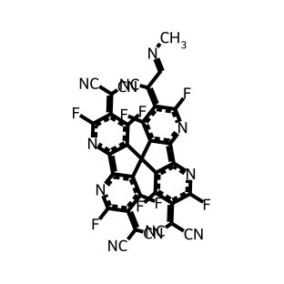 C/N=C/C(C#N)=c1\c(F)nc2c(c1F)C1(c3c(F)c(=C(C#N)C#N)c(F)nc3=c3nc(F)c(=C(C#N)C#N)c(F)c31)c1c(F)c(=C(C#N)C#N)c(F)nc1=2